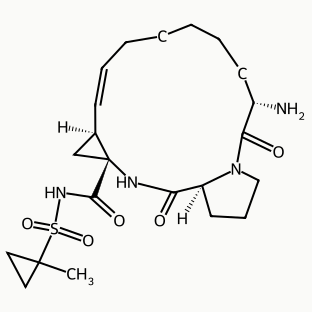 CC1(S(=O)(=O)NC(=O)[C@@]23C[C@H]2/C=C\CCCCC[C@H](N)C(=O)N2CCC[C@H]2C(=O)N3)CC1